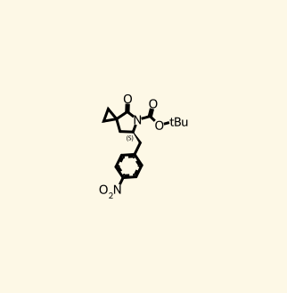 CC(C)(C)OC(=O)N1C(=O)C2(CC2)C[C@@H]1Cc1ccc([N+](=O)[O-])cc1